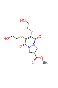 CC(C)(C)OC(=O)C1Cn2c(=O)c(SCCO)c(SCCO)c(=O)n2C1